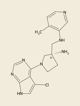 Cc1ccncc1NC[C@@]1(N)CCN(c2ncnc3[nH]cc(Cl)c23)C1